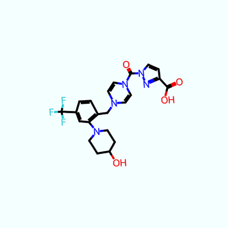 O=C(O)c1ccn(C(=O)N2C=CN(Cc3ccc(C(F)(F)F)cc3N3CCC(O)CC3)C=C2)n1